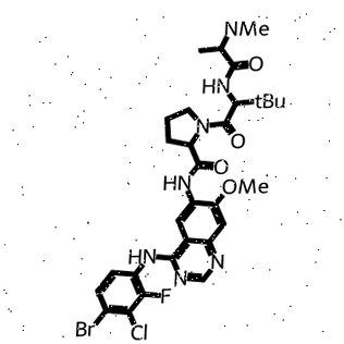 CNC(C)C(=O)NC(C(=O)N1CCCC1C(=O)Nc1cc2c(Nc3ccc(Br)c(Cl)c3F)ncnc2cc1OC)C(C)(C)C